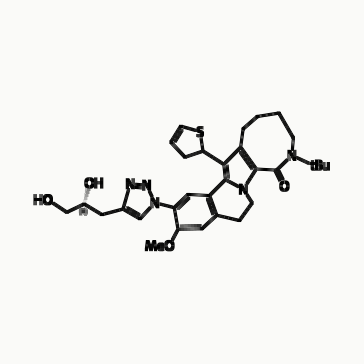 COc1cc2c(cc1-n1cc(C[C@@H](O)CO)nn1)-c1c(C3CC=CS3)c3c(n1CC2)C(=O)N(C(C)(C)C)CCCC3